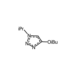 CC(C)COc1cn(C(C)C)nn1